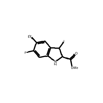 CCc1cc2c(cc1F)NC(C(=O)OC)C2I